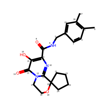 Cc1ccc(CNC(=O)c2nc3n(c(=O)c2O)CCOC32CCCC2)cc1C